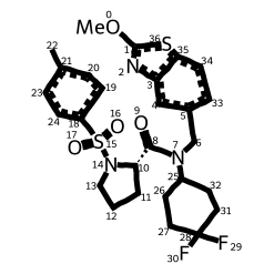 COc1nc2cc(CN(C(=O)[C@@H]3CCCN3S(=O)(=O)c3ccc(C)cc3)C3CCC(F)(F)CC3)ccc2s1